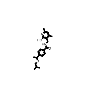 Cc1cc(C)c(CNC(=O)c2ccc(C(C)OCC(C)C)cc2)c(O)n1